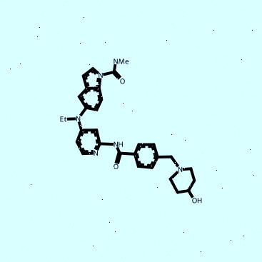 CCN(c1ccnc(NC(=O)c2ccc(CN3CCC(O)CC3)cc2)c1)c1ccc2c(ccn2C(=O)NC)c1